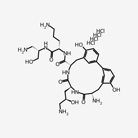 Cl.Cl.Cl.Cl.NCCC[C@H](NC(=O)[C@@H]1Cc2cc(ccc2O)-c2ccc(O)c(c2)C[C@H](N)C(=O)N[C@@H](C[C@@H](O)CN)C(=O)N1)C(=O)N[C@@H](CN)CO